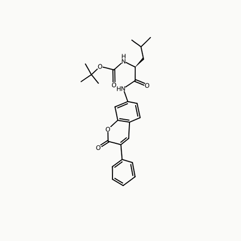 CC(C)C[C@H](NC(=O)OC(C)(C)C)C(=O)Nc1ccc2cc(-c3ccccc3)c(=O)oc2c1